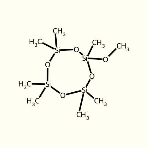 CO[Si]1(C)O[Si](C)(C)O[Si](C)(C)O[Si](C)(C)O1